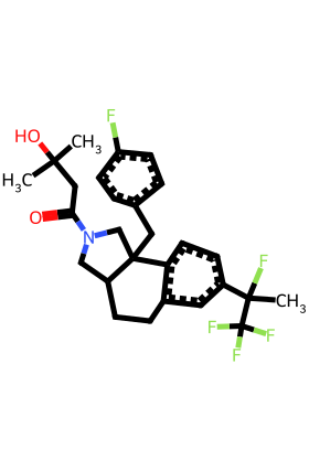 CC(C)(O)CC(=O)N1CC2CCc3cc(C(C)(F)C(F)(F)F)ccc3C2(Cc2ccc(F)cc2)C1